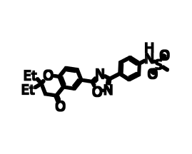 CCC1(CC)CC(=O)c2cc(-c3nc(-c4ccc(NS(C)(=O)=O)cc4)no3)ccc2O1